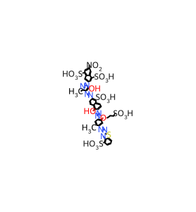 Cc1cc(N=Nc2ccc3c(S(=O)(=O)O)c(N=Nc4c(C)nn(-c5cc(S(=O)(=O)O)c6cc([N+](=O)[O-])cc(S(=O)(=O)O)c6c5)c4O)ccc3c2O)c(OCCCS(=O)(=O)O)cc1N=Nc1nc2c(S(=O)(=O)O)cccc2s1